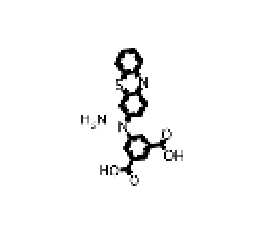 N.O=C(O)c1cc(/N=c2\ccc3nc4ccccc4sc-3c2)cc(C(=O)O)c1